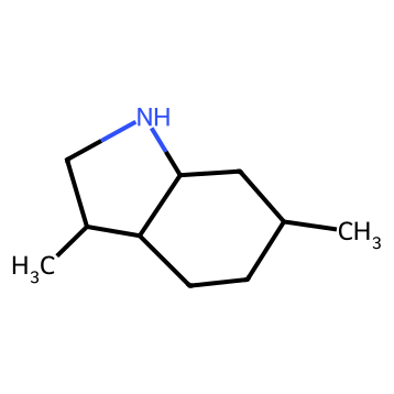 CC1CCC2C(C)CNC2C1